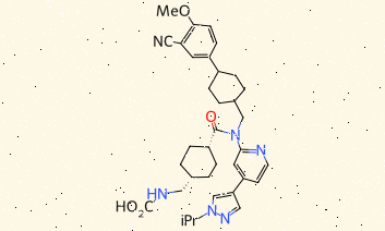 COc1ccc(C2CCC(CN(c3cc(-c4cnn(C(C)C)c4)ccn3)C(=O)[C@H]3CC[C@@H](CNC(=O)O)CC3)CC2)cc1C#N